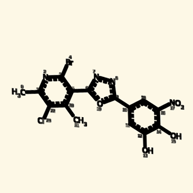 Cc1nc(Br)c(-c2nnc(-c3cc(O)c(O)c([N+](=O)[O-])c3)o2)c(C)c1Cl